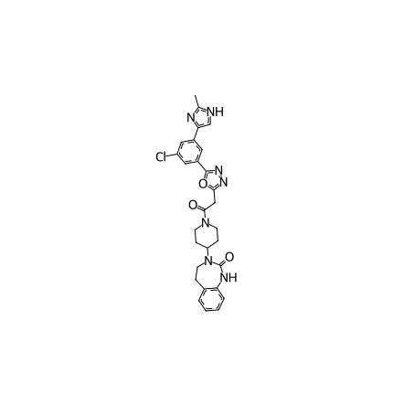 Cc1nc(-c2cc(Cl)cc(-c3nnc(CC(=O)N4CCC(N5CCc6ccccc6NC5=O)CC4)o3)c2)c[nH]1